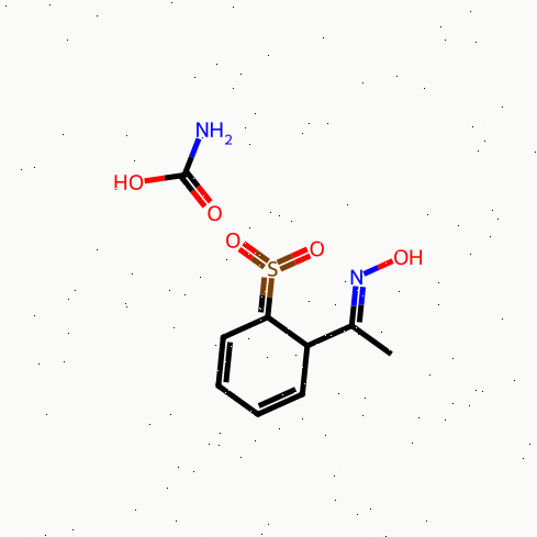 CC(=NO)C1C=CC=CC1=S(=O)=O.NC(=O)O